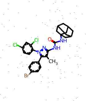 Cc1c(NC(=O)NC23CC4CC(CC(C4)C2)C3)nn(-c2ccc(Cl)cc2Cl)c1-c1ccc(Br)cc1